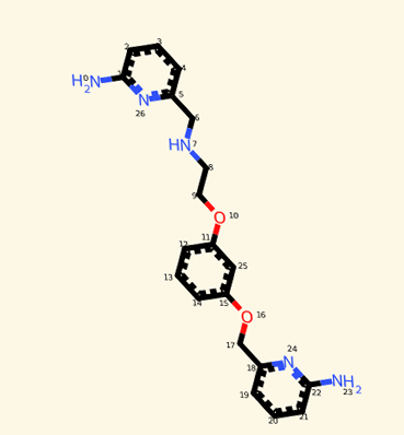 Nc1cccc(CNCCOc2cccc(OCc3cccc(N)n3)c2)n1